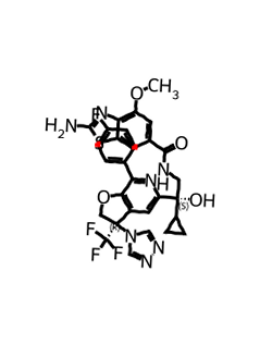 COc1cc(C(=O)NC[C@](O)(c2cc3c(c(-c4ccc(F)cc4)n2)OC[C@@]3(n2cnnc2)C(F)(F)F)C2CC2)cc2sc(N)nc12